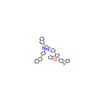 CC1=[N+](Cc2cccc(-c3ccc(-c4ccc5sc6ccccc6c5c4)c4oc5ccccc5c34)c2)C(c2ccc(-c3ccc4ccccc4c3)cc2)N=C(c2ccc3ccccc3c2)C1